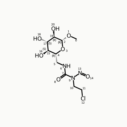 CO[C@@H]1O[C@H](CNC(=O)N(CCCl)N=O)[C@@H](O)[C@H](O)[C@H]1O